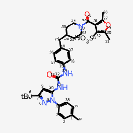 Cc1ccc(-n2nc(C(C)(C)C)cc2NC(=O)Nc2ccc(CC3CCN(C(=O)c4c(C)oc(C)c4S(=O)(=O)O)CC3)cc2)cc1